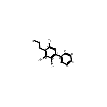 CCCc1c(F)cc(-c2ccccc2)c(F)c1F